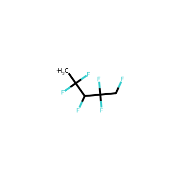 [CH2]C(F)(F)C(F)C(F)(F)CF